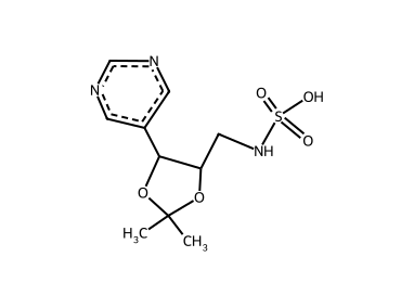 CC1(C)OC(CNS(=O)(=O)O)C(c2cncnc2)O1